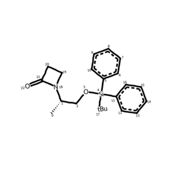 C[C@@H](CO[Si](c1ccccc1)(c1ccccc1)C(C)(C)C)N1CCC1=O